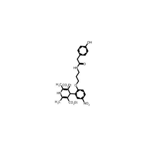 CCOC(=O)C1=C(C)NC(C)=C(C(=O)OCC)C1c1cc([N+](=O)[O-])ccc1OCCCNC(=O)Cc1ccc(O)cc1